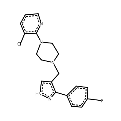 Fc1ccc(-c2n[nH]cc2CN2CCN(c3ncccc3Cl)CC2)cc1